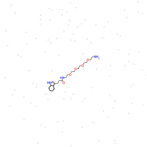 NCCOCCOCCOCCOCCNC(=O)CCc1c[nH]c2ccccc12